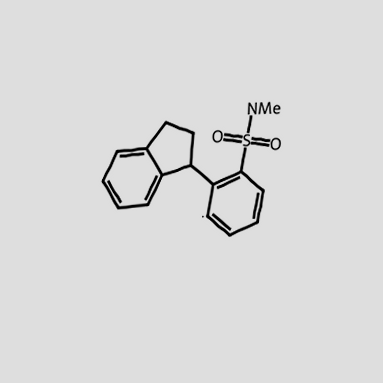 CNS(=O)(=O)c1ccc[c]c1C1CCc2ccccc21